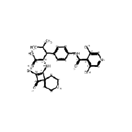 CC(C)C(c1ccc(NC(=O)c2c(Cl)cncc2Cl)cc1)[C@H](NC1=C(Br)C(=O)C12CCOCC2)C(=O)O